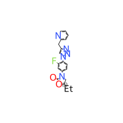 CC[C@H]1CN(c2ccc(-n3cc(Cc4ccccn4)nn3)c(F)c2)C(=O)O1